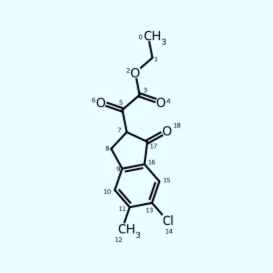 CCOC(=O)C(=O)C1Cc2cc(C)c(Cl)cc2C1=O